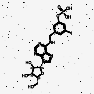 O=P(O)(O)Oc1cc(I)cc(CNc2ncnc3c2ncn3[C@@H]2O[C@H](CO)[C@@H](O)[C@H]2O)c1